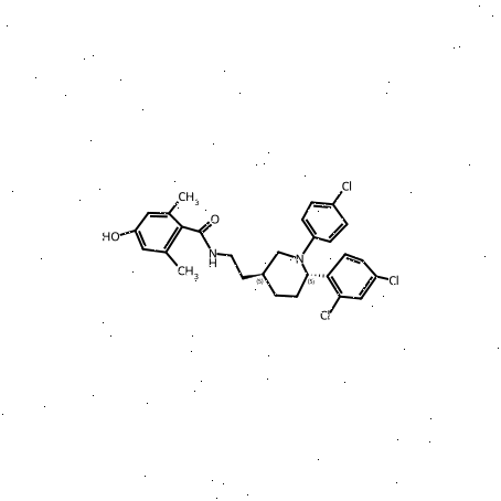 Cc1cc(O)cc(C)c1C(=O)NCC[C@@H]1CC[C@@H](c2ccc(Cl)cc2Cl)N(c2ccc(Cl)cc2)C1